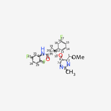 COCc1nc(C)ncc1OC[C@@]1(C2C=CC=C(F)C2)C[C@H]1C(=O)Nc1cc(F)ccc1F